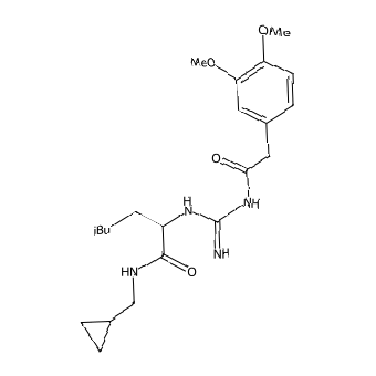 CCC(C)CC(NC(=N)NC(=O)Cc1ccc(OC)c(OC)c1)C(=O)NCC1CC1